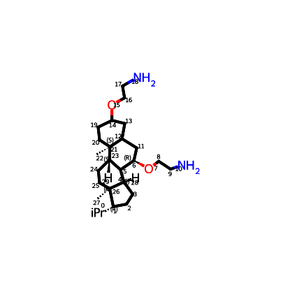 CC(C)[C@H]1CC[C@H]2C3[C@H](OCCN)CC4CC(OCCN)CC[C@]4(C)[C@H]3CC[C@]12C